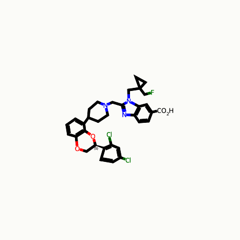 O=C(O)c1ccc2nc(CN3CCC(c4cccc5c4O[C@@H](c4ccc(Cl)cc4Cl)CO5)CC3)n(CC3(CF)CC3)c2c1